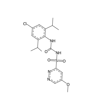 COc1cnnc(S(=O)(=O)NC(=O)Nc2c(C(C)C)cc(Cl)cc2C(C)C)c1